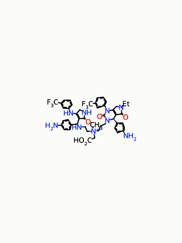 CCN1CC2=C(C1=O)[C@@H](c1ccc(N)cc1)N(CCC[N+](C)(CCN[C@@H](C1=C(Nc3cccc(C(F)(F)F)c3)CNC1=O)c1ccc(N)cc1)CC(=O)O)C(=O)N2c1cccc(C(F)(F)F)c1